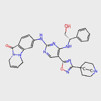 O=c1c2ccc(Nc3ncc(-c4nc(C56CCN(CC5)CC6)no4)c(N[C@H](CO)c4ccccc4)n3)cc2n2n1CC=CC2